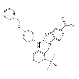 O=C(O)c1ccc2c(c1)nc(Nc1ccc(OCc3ccccc3)cc1)n2Cc1ccccc1C(F)(F)F